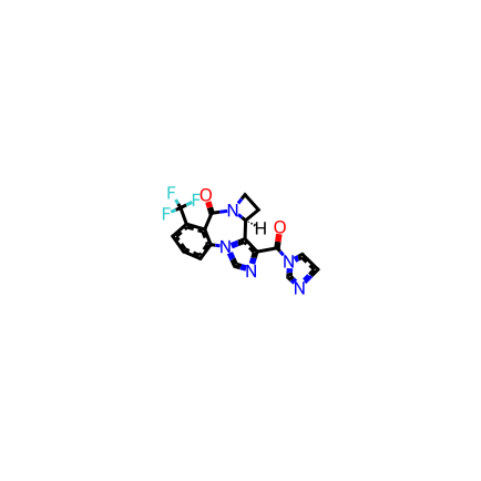 O=C1c2c(cccc2C(F)(F)F)-n2cnc(C(=O)n3ccnc3)c2[C@@H]2CCN12